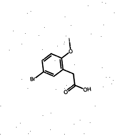 O=C(O)Cc1cc(Br)ccc1OI